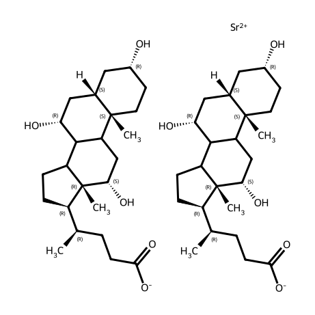 C[C@H](CCC(=O)[O-])[C@H]1CCC2C3C(C[C@H](O)[C@@]21C)[C@@]1(C)CC[C@@H](O)C[C@H]1C[C@H]3O.C[C@H](CCC(=O)[O-])[C@H]1CCC2C3C(C[C@H](O)[C@@]21C)[C@@]1(C)CC[C@@H](O)C[C@H]1C[C@H]3O.[Sr+2]